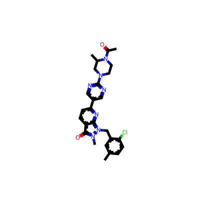 CC(=O)N1CCN(c2ncc(-c3ccc4c(=O)n(C)n(Cc5cc(C)ccc5Cl)c4n3)cn2)CC1C